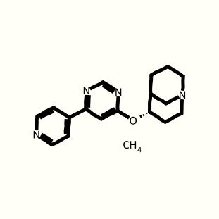 C.c1cc(-c2cc(O[C@H]3CCN4CCCC3C4)ncn2)ccn1